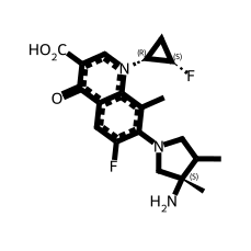 Cc1c(N2CC(C)[C@](C)(N)C2)c(F)cc2c(=O)c(C(=O)O)cn([C@@H]3C[C@@H]3F)c12